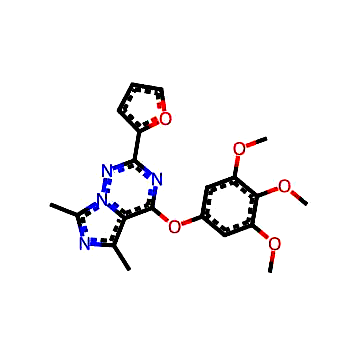 COc1cc(Oc2nc(-c3ccco3)nn3c(C)nc(C)c23)cc(OC)c1OC